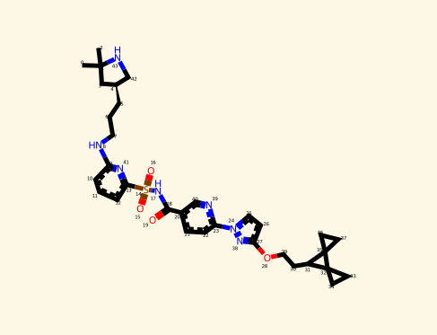 CC1(C)C[C@H](CCCNc2cccc(S(=O)(=O)NC(=O)c3ccc(-n4ccc(OCCC5C6(CC6)C56CC6)n4)nc3)n2)CN1